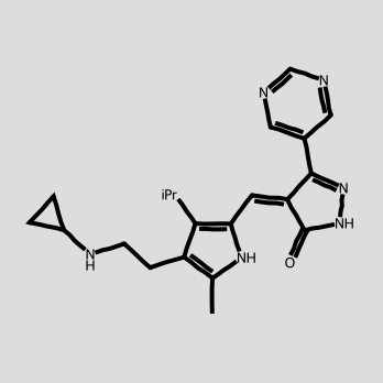 Cc1[nH]c(C=C2C(=O)NN=C2c2cncnc2)c(C(C)C)c1CCNC1CC1